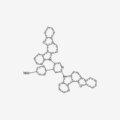 N#Cc1ccc(-c2cc(-n3c4ccccc4c4c5oc6ccccc6c5ccc43)ncc2-n2c3ccccc3c3c4oc5ccccc5c4ccc32)cc1